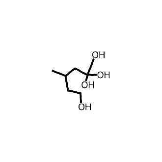 CC(CCO)CC(O)(O)O